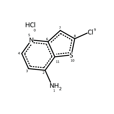 Cl.Nc1ccnc2cc(Cl)sc12